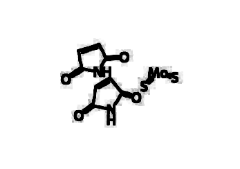 O=C1C=CC(=O)N1.O=C1C=CC(=O)N1.[S]=[Mo]=[S]